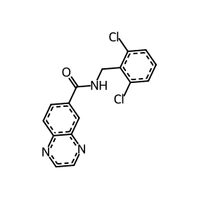 O=C(NCc1c(Cl)cccc1Cl)c1ccc2nccnc2c1